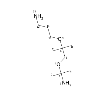 CC(C)(N)OCC(C)(C)OCCCN